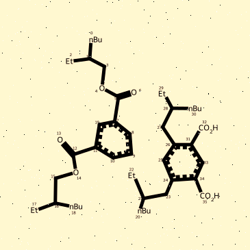 CCCCC(CC)COC(=O)c1cccc(C(=O)OCC(CC)CCCC)c1.CCCCC(CC)Cc1cc(CC(CC)CCCC)c(C(=O)O)cc1C(=O)O